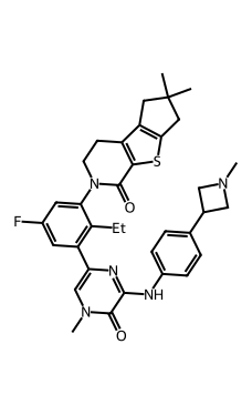 CCc1c(-c2cn(C)c(=O)c(Nc3ccc(C4CN(C)C4)cc3)n2)cc(F)cc1N1CCc2c(sc3c2CC(C)(C)C3)C1=O